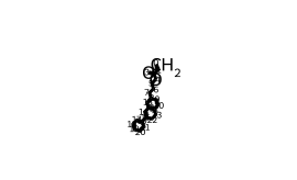 C=CC(=O)OCCCc1ccc2c(c1)C=C(c1ccccc1)CC2